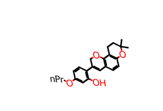 CCCOc1ccc(C2=Cc3ccc4c(c3OC2)CCC(C)(C)O4)c(O)c1